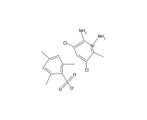 Cc1c(Cl)cc(Cl)c(N)[n+]1N.Cc1cc(C)c(S(=O)(=O)[O-])c(C)c1